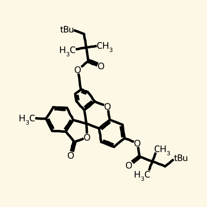 Cc1ccc2c(c1)C(=O)OC21c2ccc(OC(=O)C(C)(C)CC(C)(C)C)cc2Oc2cc(OC(=O)C(C)(C)CC(C)(C)C)ccc21